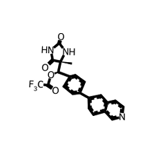 C[C@]1([C@H](OC(=O)C(F)(F)F)c2ccc(-c3ccc4cnccc4c3)cc2)NC(=O)NC1=O